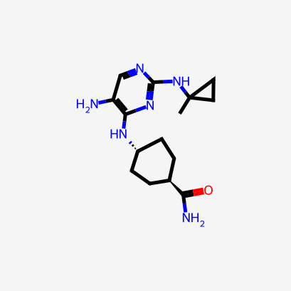 CC1(Nc2ncc(N)c(N[C@H]3CC[C@H](C(N)=O)CC3)n2)CC1